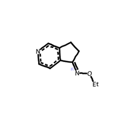 CCO/N=C1\CCc2cnccc21